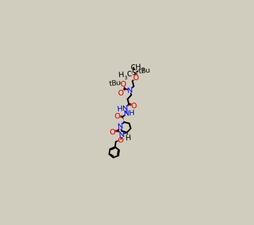 CC(C)(C)OC(=O)N(CCO[Si](C)(C)C(C)(C)C)CCC(=O)NNC(=O)[C@@H]1CC[C@H]2CN1C(=O)N2OCc1ccccc1